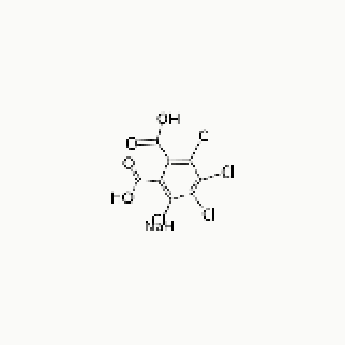 O=C(O)c1c(Cl)c(Cl)c(Cl)c(Cl)c1C(=O)O.[NaH]